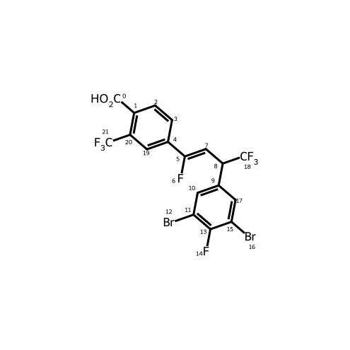 O=C(O)c1ccc(/C(F)=C/C(c2cc(Br)c(F)c(Br)c2)C(F)(F)F)cc1C(F)(F)F